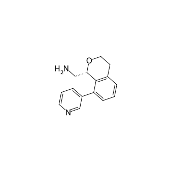 NC[C@@H]1OCCc2cccc(-c3cccnc3)c21